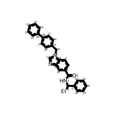 CCC(NC(=O)c1ccc2c(c1)ncn2Cc1ccc(-c2ccccc2)cc1)c1ccccc1